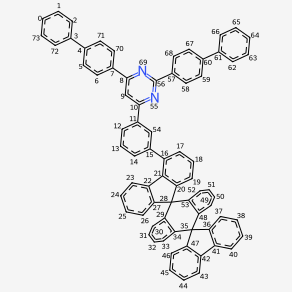 c1ccc(-c2ccc(-c3cc(-c4cccc(-c5cccc6c5-c5ccccc5C65c6ccccc6C6(c7ccccc7-c7ccccc76)c6ccccc65)c4)nc(-c4ccc(-c5ccccc5)cc4)n3)cc2)cc1